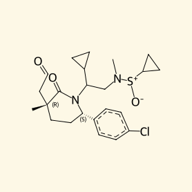 CN(CC(C1CC1)N1C(=O)[C@@](C)(CC=O)CC[C@H]1c1ccc(Cl)cc1)[S+]([O-])C1CC1